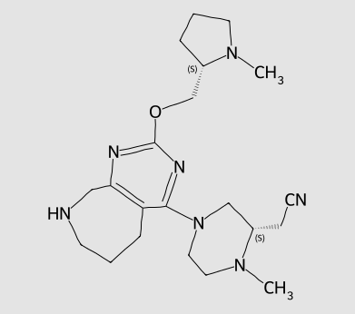 CN1CCC[C@H]1COc1nc2c(c(N3CCN(C)[C@@H](CC#N)C3)n1)CCCNC2